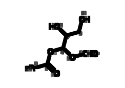 CCCC(=O)OC(O[C]=O)C(O)CO